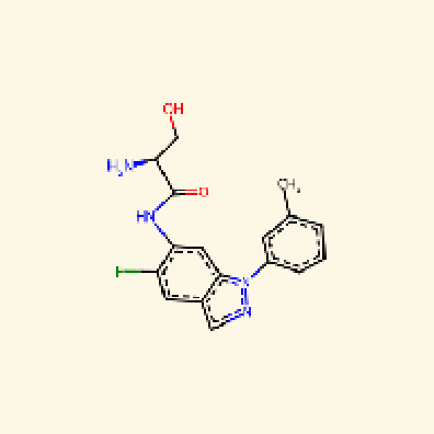 Cc1cccc(-n2ncc3cc(F)c(NC(=O)[C@@H](N)CO)cc32)c1